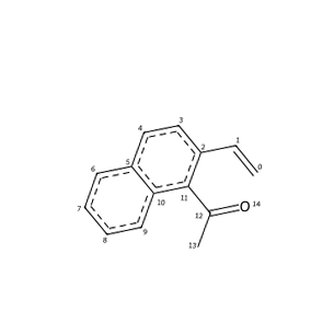 C=Cc1ccc2ccccc2c1C(C)=O